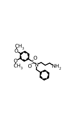 COc1ccc(S(=O)(=O)N(CCCN)Cc2ccccc2)cc1OC